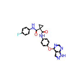 O=C(Nc1ccc(F)cc1)C1(C(=O)Nc2ccc(Oc3ncnc4[nH]ncc34)cc2)CC1